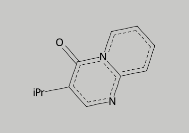 CC(C)c1cnc2ccccn2c1=O